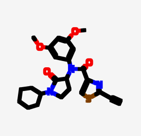 C#Cc1nc(C(=O)N(c2cc(OC)cc(OC)c2)C2CCN(C3CCCCC3)C2=O)cs1